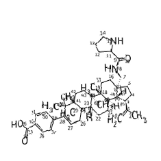 C=C(C)[C@@H]1CC[C@]2(CNC(=O)C3CCCN3)CC[C@]3(C)[C@H](CC[C@@H]4[C@@]5(C)CC=C(c6ccc(C(=O)O)cc6)C(C)(C)[C@@H]5CC[C@]43C)[C@@H]12